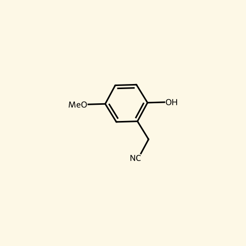 COc1ccc(O)c(CC#N)c1